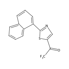 O=C(c1cnc(-c2cccc3ccccc23)s1)C(F)(F)F